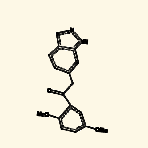 COc1ccc(OC)c(C(=O)Cc2ccc3cn[nH]c3c2)c1